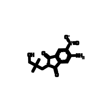 CC(C)(CO)CN1C(=O)c2cc(N)c([N+](=O)[O-])cc2C1=O